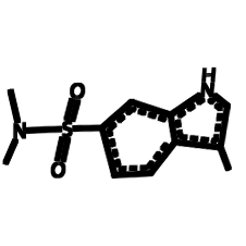 Cc1c[nH]c2cc(S(=O)(=O)N(C)C)ccc12